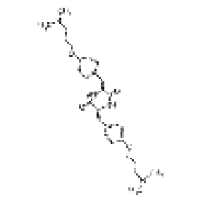 CN(C)CCCOc1ccc(/C=c2\[nH]c(=O)/c(=C/c3ccc(OCCCN(C)C)cc3)[nH]c2=O)cc1